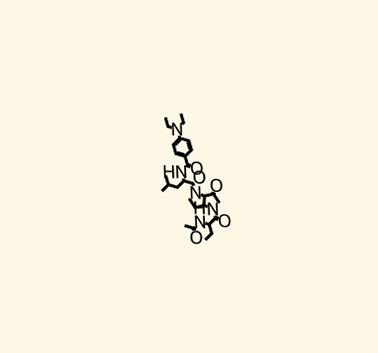 CCC(NC(C)=O)C(=O)N1CC(=O)C2C1CCN2C(=O)C(CC(C)C)NC(=O)c1ccc(N(CC)CC)cc1